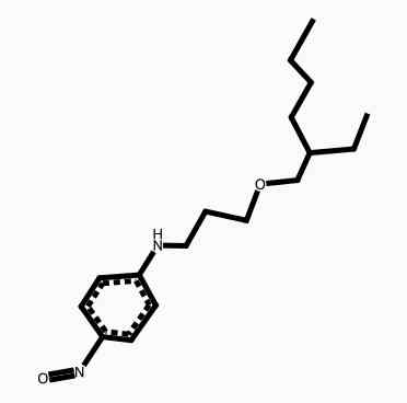 CCCCC(CC)COCCCNc1ccc(N=O)cc1